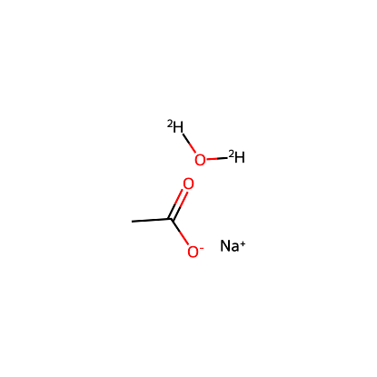 CC(=O)[O-].[2H]O[2H].[Na+]